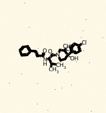 CC(C)[C@@H](NC(=O)C=Cc1ccccc1)C(=O)N1CC[C@](O)(c2ccc(Cl)cc2)C(C)(C)C1